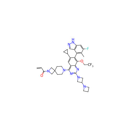 C=CC(=O)N1CC2(CCN(c3nc(N4CC(N5CCC5)C4)nc4c(OCC(F)(F)F)c(-c5c(C)c(F)cc6[nH]ncc56)c(C5CC5)cc34)CC2)C1